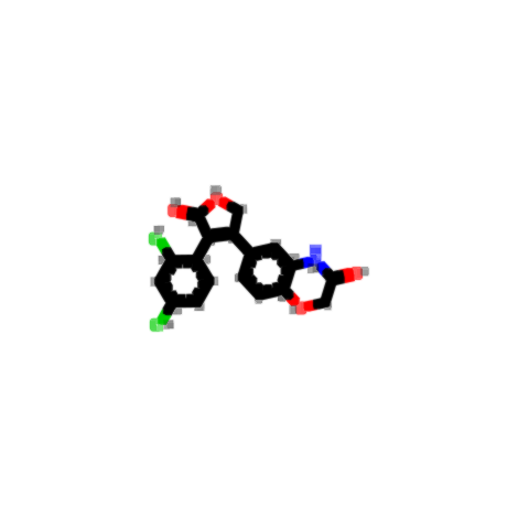 O=C1COc2ccc(C3=C(c4ccc(Cl)cc4Cl)C(=O)OC3)cc2N1